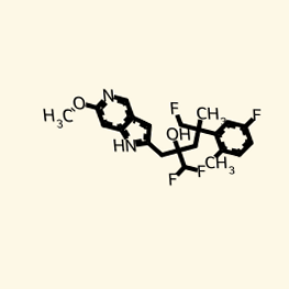 COc1cc2[nH]c(CC(O)(CC(C)(CF)c3cc(F)ccc3C)C(F)F)cc2cn1